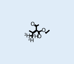 [2H]C([2H])([2H])/C(C)=C(/C(C)=O)C(=O)OCC